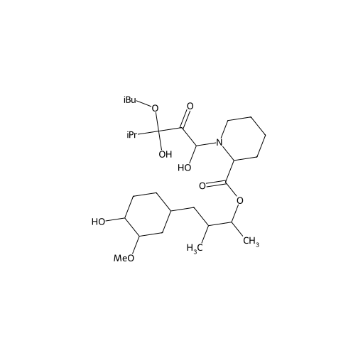 CCC(C)OC(O)(C(=O)C(O)N1CCCCC1C(=O)OC(C)C(C)CC1CCC(O)C(OC)C1)C(C)C